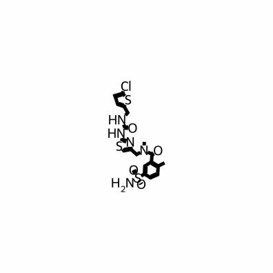 Cc1ccc(S(N)(=O)=O)cc1C(=O)N(C)Cc1csc(NC(=O)NCc2ccc(Cl)s2)n1